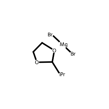 [Br][Mg][Br].[CH2]C(C)C1OCCO1